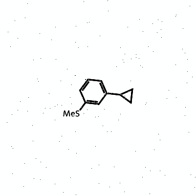 CSc1c[c]cc(C2CC2)c1